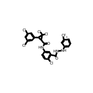 O=C(NNc1cccc(C(F)(F)F)c1)c1cc(NC(=O)C2C(c3cc(Cl)cc(Cl)c3)C2(Cl)Cl)ccc1Cl